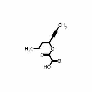 CC#CC(CCC)OC(=O)C(=O)O